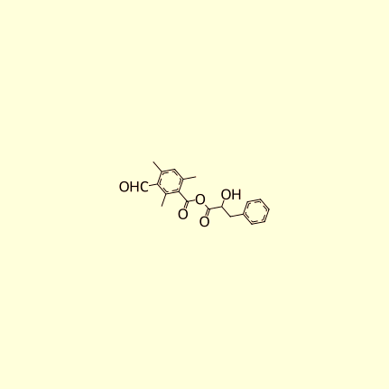 Cc1cc(C)c(C(=O)OC(=O)C(O)Cc2ccccc2)c(C)c1C=O